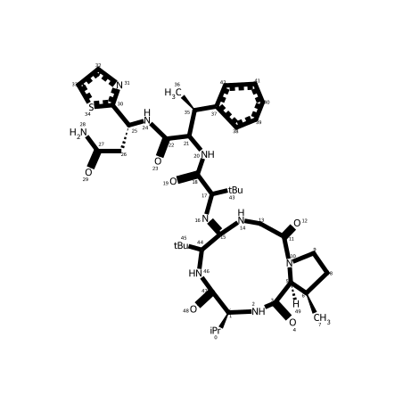 CC(C)[C@@H]1NC(=O)[C@@H]2[C@H](C)CCN2C(=O)CN/C(=N\C(C(=O)NC(C(=O)N[C@H](CC(N)=O)c2nccs2)[C@@H](C)c2ccccc2)C(C)(C)C)C(C(C)(C)C)NC1=O